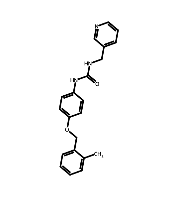 Cc1ccccc1COc1ccc(NC(=O)NCc2cccnc2)cc1